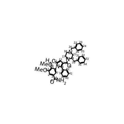 COc1cc(C(N)=O)cc(-n2c(C)cc(C(=O)N3CCN(Cc4ccccc4)C[C@H]3Cc3ccccc3)c2-c2ccccc2)c1OC